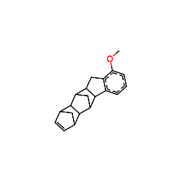 COc1cccc2c1CC1C3CC(C21)C1C2C=CC(C2)C31